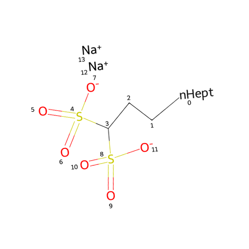 CCCCCCCCCC(S(=O)(=O)[O-])S(=O)(=O)[O-].[Na+].[Na+]